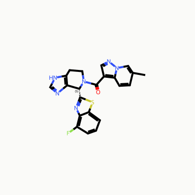 Cc1ccc2c(C(=O)N3CCc4[nH]cnc4[C@H]3c3nc4c(F)cccc4s3)cnn2c1